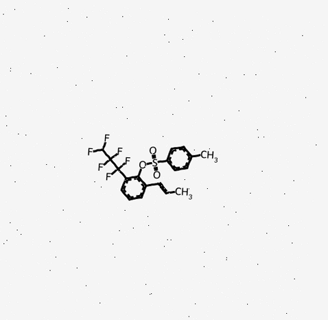 CC=Cc1cccc(C(F)(F)C(F)(F)C(F)F)c1OS(=O)(=O)c1ccc(C)cc1